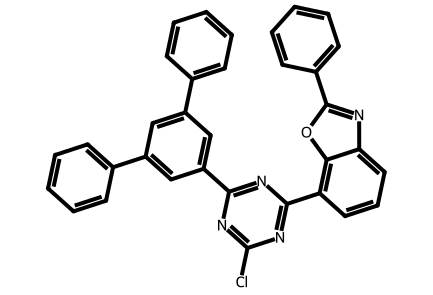 Clc1nc(-c2cc(-c3ccccc3)cc(-c3ccccc3)c2)nc(-c2cccc3nc(-c4ccccc4)oc23)n1